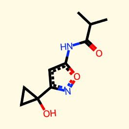 CC(C)C(=O)Nc1cc(C2(O)CC2)no1